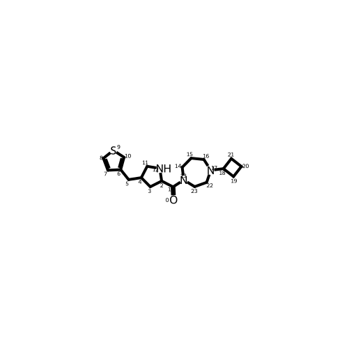 O=C(C1CC(Cc2ccsc2)CN1)N1CCCN(C2CCC2)CC1